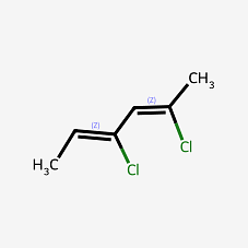 C/C=C(Cl)/C=C(/C)Cl